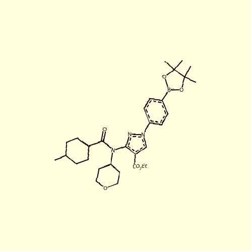 CCOC(=O)c1cn(-c2ccc(B3OC(C)(C)C(C)(C)O3)cc2)nc1N(C(=O)C1CCC(C)CC1)C1CCOCC1